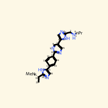 CCCNCc1ncc(-c2cnc(-c3ccc(-c4cnc([C@H](C)NC)[nH]4)cc3)nc2)[nH]1